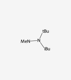 [CH2]NN(C(C)CC)C(C)(C)C